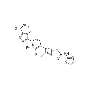 Cc1nn(CC(=O)Nc2nccs2)cc1-c1ccc(-c2cnc(C(N)=O)n2C)c(F)c1F